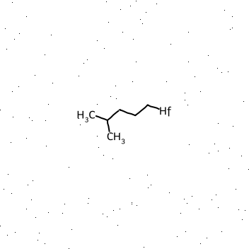 CC(C)CC[CH2][Hf]